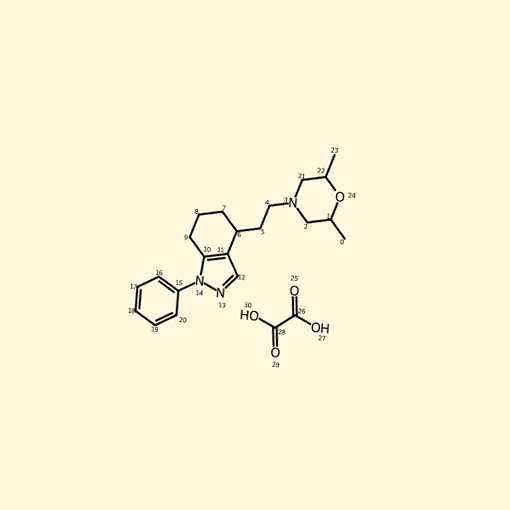 CC1CN(CCC2CCCc3c2cnn3-c2ccccc2)CC(C)O1.O=C(O)C(=O)O